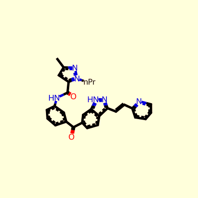 CCCn1nc(C)cc1C(=O)Nc1cccc(C(=O)c2ccc3c(/C=C/c4ccccn4)n[nH]c3c2)c1